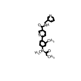 CCC(=O)N(C)c1ccc(-c2ccc(C(=O)NCc3cccnc3)cn2)c(C)c1